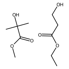 CCOC(=O)CCO.COC(=O)C(C)(C)O